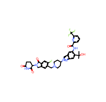 CC(C)(O)c1cc2nn(C3CCN(Cc4cc5c(cc4F)C(=O)N(C4CCC(=O)NC4=O)C5)CC3)cc2cc1NC(=O)c1cccc(C(F)(F)F)n1